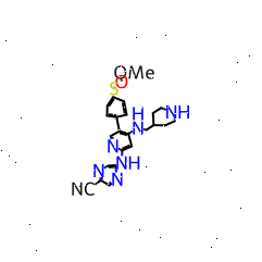 COOSc1ccc(-c2cnc(Nc3cnc(C#N)cn3)cc2NCC2CCNCC2)cc1